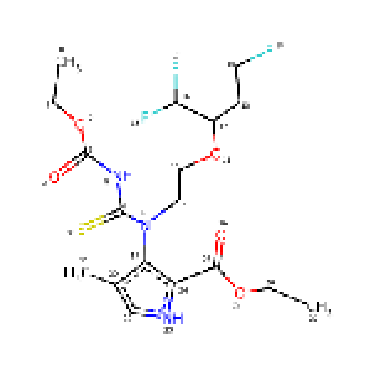 CCOC(=O)NC(=S)N(CCOC(CCF)C(F)F)c1c(C)c[nH]c1C(=O)OCC